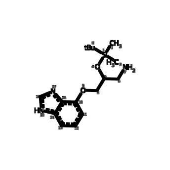 CC(C)(C)[Si](C)(C)OC(CN)COc1cccc2[nH]cnc12